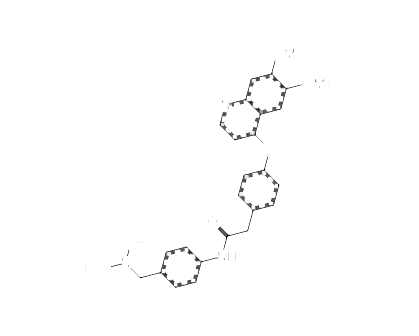 COc1cc2nccc(Oc3ccc(CC(=O)Nc4ccc(CN(C)C)cc4)cc3)c2cc1OC